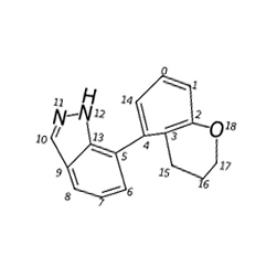 c1cc2c(c(-c3cccc4cn[nH]c34)c1)CCCO2